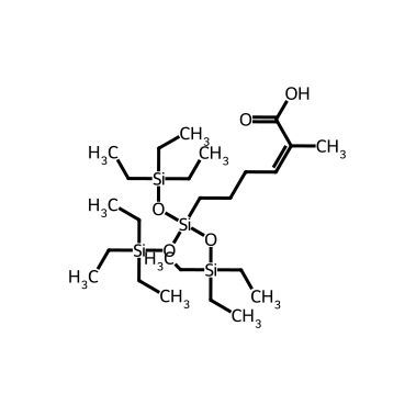 CC[Si](CC)(CC)O[Si](CCCC=C(C)C(=O)O)(O[Si](CC)(CC)CC)O[Si](CC)(CC)CC